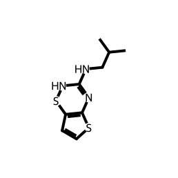 CC(C)CNC1=Nc2sccc2SN1